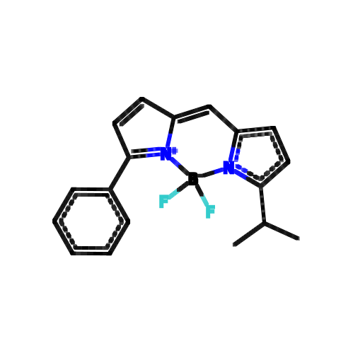 CC(C)c1ccc2n1[B-](F)(F)[N+]1=C(c3ccccc3)C=CC1=C2